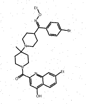 CCON=C(c1ccc(Br)cc1)C1CCN(C2(C)CCN(C(=O)c3cc(O)c4ccc(CC)cc4n3)CC2)CC1